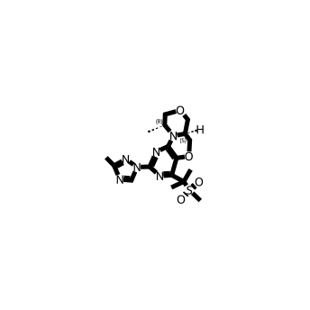 Cc1ncn(-c2nc3c(c(C(C)(C)S(C)(=O)=O)n2)OC[C@@H]2COC[C@@H](C)N32)n1